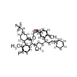 CCOC(=O)C(c1ccc(F)c(C)c1C1CCN(CC(F)(F)F)CC1)N(C)CC[C@H](CCN1CCCCC1)c1cc(Cl)ccc1C